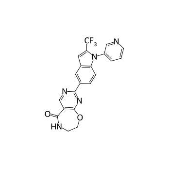 O=C1NCCOc2nc(-c3ccc4c(c3)cc(C(F)(F)F)n4-c3cccnc3)ncc21